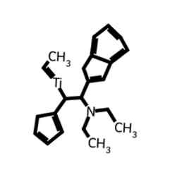 C[CH]=[Ti][CH](C1=CC=CC1)C(C1=Cc2ccccc2C1)N(CC)CC